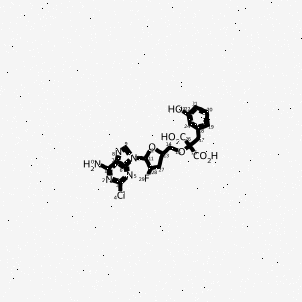 Nc1nc(Cl)nc2c1ncn2C1OC(COC(Cc2cccc(O)c2)(C(=O)O)C(=O)O)CC1F